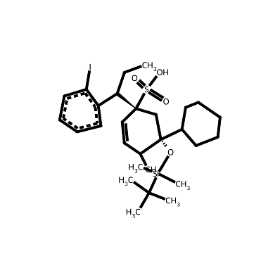 CCC(c1ccccc1I)[C@]1(S(=O)(=O)O)C=CC(C)[C@](O[Si](C)(C)C(C)(C)C)(C2CCCCC2)C1